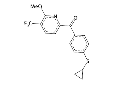 COc1nc(C(=O)c2ccc(SC3CC3)cc2)ccc1C(F)(F)F